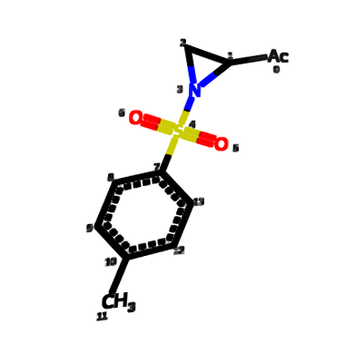 CC(=O)C1CN1S(=O)(=O)c1ccc(C)cc1